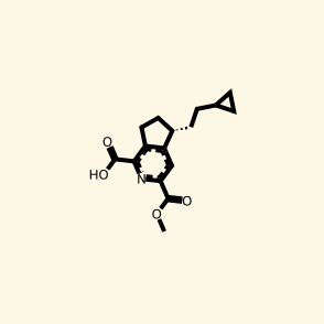 COC(=O)c1cc2c(c(C(=O)O)n1)CC[C@@H]2CCC1CC1